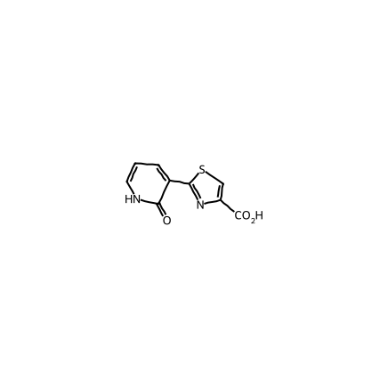 O=C(O)c1csc(-c2ccc[nH]c2=O)n1